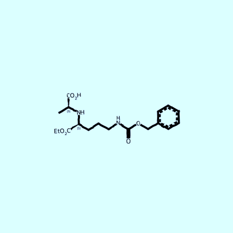 CCOC(=O)[C@H](CCCNC(=O)OCc1ccccc1)N[C@@H](C)C(=O)O